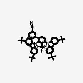 CC(C)(C)c1ccc2c(c1)c1cc(C(C)(C)C)ccc1n2-c1ccc(-c2cccc(C#N)c2)c(-n2c3ccc(C(C)(C)C)cc3c3cc(C(C)(C)C)ccc32)c1C(F)(F)F